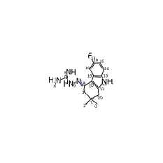 CC1(C)C/C(=N\NC(=N)N)c2c([nH]c3ccc(F)cc23)C1